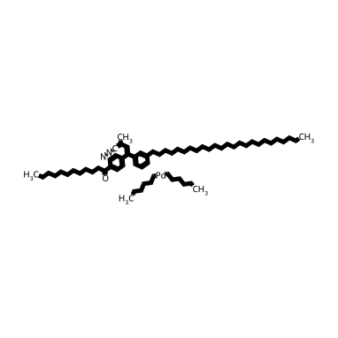 CCCCCCCCCCCCCCCCCCCCCCCCCc1cccc(C(=CC(C)=C=[N+]=[N-])c2ccc(C(=O)CCCCCCCCCCC)cc2)c1.CCCCC[CH2][Pd][CH2]CCCCC